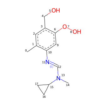 Cc1cc(CO)c(OO)cc1/N=C/N(C)C1CC1